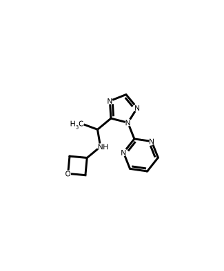 CC(NC1COC1)c1ncnn1-c1ncccn1